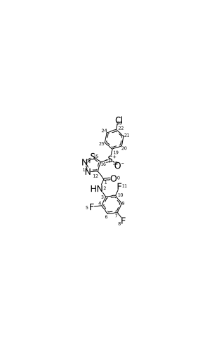 O=C(Nc1c(F)cc(F)cc1F)c1nnsc1[S+]([O-])c1ccc(Cl)cc1